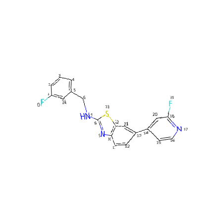 Fc1cccc(CNc2nc3ccc(-c4ccnc(F)c4)cc3s2)c1